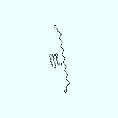 N=C=O.N=C=O.N=C=O.O=C=NCCCCCCCCCCCN=C=O